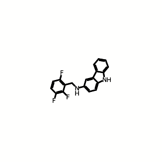 Fc1ccc(F)c(CNc2ccc3[nH]c4ccccc4c3c2)c1F